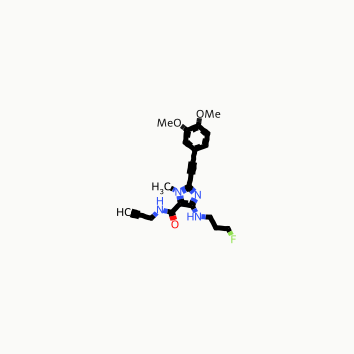 C#CCNC(=O)c1c(NCCCF)nc(C#Cc2ccc(OC)c(OC)c2)n1C